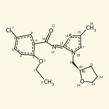 CCOc1ccc(Cl)cc1C(=O)N=c1sc(C)cn1C[C@H]1CCCO1